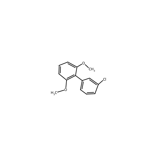 COc1c[c]cc(OC)c1-c1cccc(Cl)c1